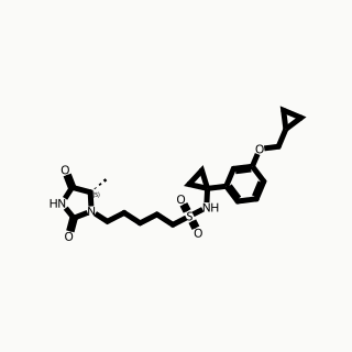 C[C@H]1C(=O)NC(=O)N1CCCCCS(=O)(=O)NC1(c2cccc(OCC3CC3)c2)CC1